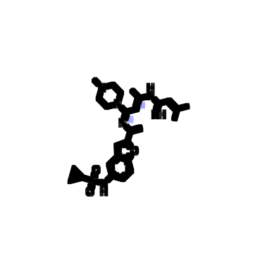 C=C(/N=C(\C=C(/C)NC(=N)C=C(C)C)N1CCN(C)CC1)c1cc2cc(NS(=O)(=O)C3CC3)ccc2o1